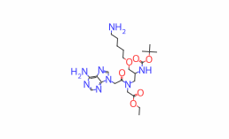 CCOC(=O)CN(CC(COCCCCCN)NC(=O)OC(C)(C)C)C(=O)Cn1cnc2c(N)ncnc21